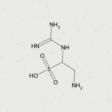 N=C(N)NC(CN)S(=O)(=O)O